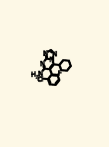 Nc1nc2ncnn2c(C2CCCCC2)c1-c1c(F)cccc1Cl